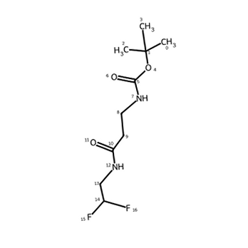 CC(C)(C)OC(=O)NCCC(=O)NCC(F)F